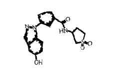 O=C(NC1CCS(=O)(=O)C1)c1cccc(-n2ncc3cc(O)ccc32)c1